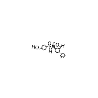 O=C(NN(C(=O)O)c1ccc(-c2cccs2)cc1)c1ccc(CO)cc1